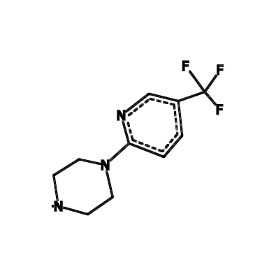 FC(F)(F)c1ccc(N2CC[N]CC2)nc1